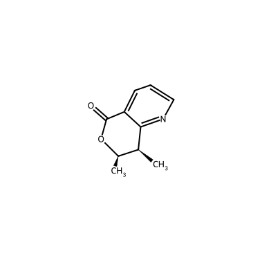 C[C@@H]1c2ncccc2C(=O)O[C@@H]1C